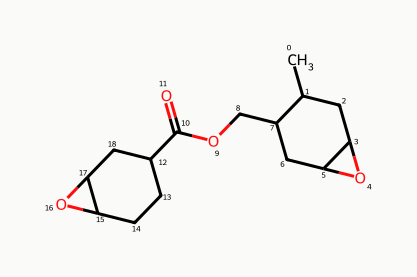 CC1CC2OC2CC1COC(=O)C1CCC2OC2C1